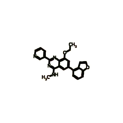 CCOc1cc(-c2cccc3occc23)cc2c(NC)nc(-c3cccnc3)nc12